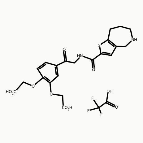 O=C(O)C(F)(F)F.O=C(O)COc1ccc(C(=O)CNC(=O)c2cc3c(s2)CCCNC3)cc1OCC(=O)O